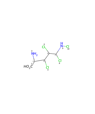 NC(C(=O)O)C(Cl)C(Cl)C(Cl)NCl